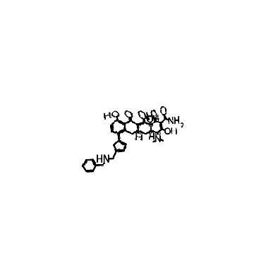 CN(C)[C@H]1C(O)=C(C(N)=O)C(=O)[C@@]2(O)C(O)=C3C(=O)c4c(O)ccc(C5=CC=C(CNCc6ccccc6)C5)c4C[C@H]3C[C@@H]12